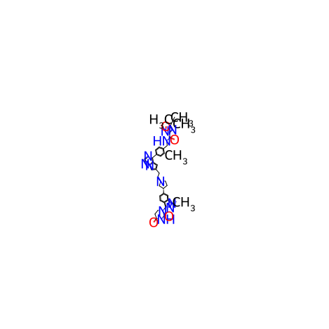 Cc1cc(-c2ncnn3cc(CCN4CC[C@@H](c5ccc6c(N7CCC(=O)NC7=O)nn(C)c6c5)C4)cc23)ccc1CNC(=O)c1noc(C(C)(C)C)n1